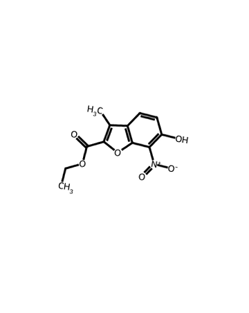 CCOC(=O)c1oc2c([N+](=O)[O-])c(O)ccc2c1C